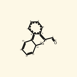 O=[C]C1=c2ccccc2=C2C=CC=CC2S1